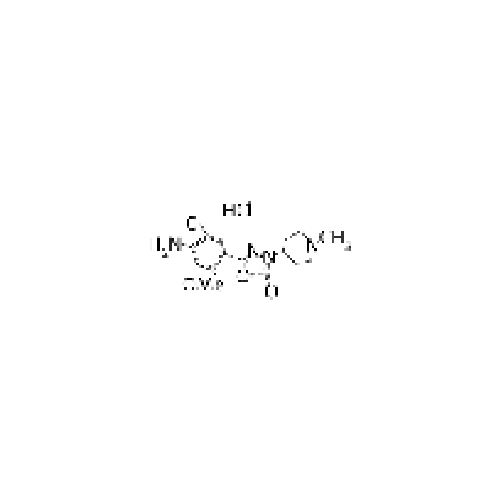 COc1cc(N)c(Cl)cc1-c1nn(C2CCN(C)CC2)c(=O)o1.Cl